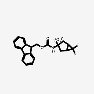 O=C(NC1(C(=O)O)CC2C(C1)C2(F)F)OCC1c2ccccc2-c2ccccc21